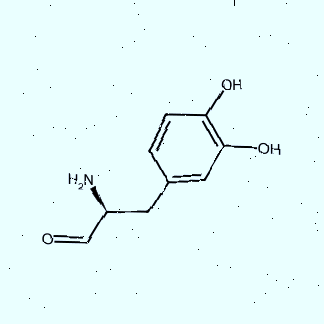 N[C@H](C=O)Cc1ccc(O)c(O)c1